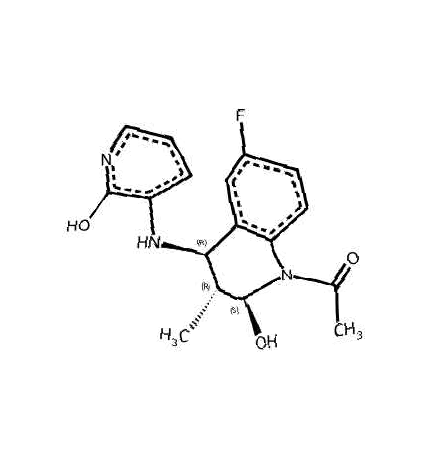 CC(=O)N1c2ccc(F)cc2[C@H](Nc2cccnc2O)[C@@H](C)[C@@H]1O